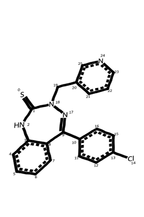 S=C1Nc2ccccc2C(c2ccc(Cl)cc2)=NN1Cc1cccnc1